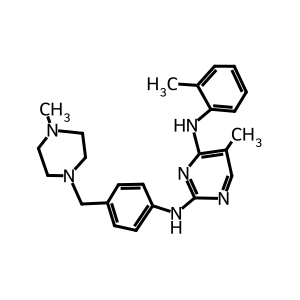 Cc1ccccc1Nc1nc(Nc2ccc(CN3CCN(C)CC3)cc2)ncc1C